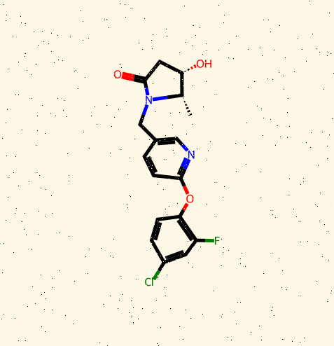 C[C@H]1[C@@H](O)CC(=O)N1Cc1ccc(Oc2ccc(Cl)cc2F)nc1